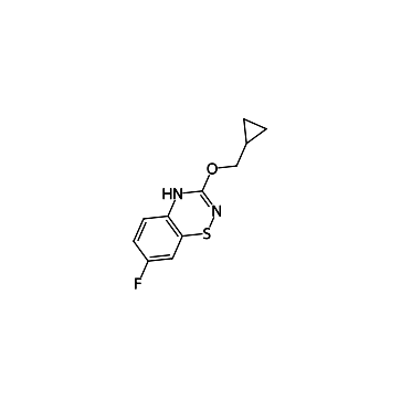 Fc1ccc2c(c1)SN=C(OCC1CC1)N2